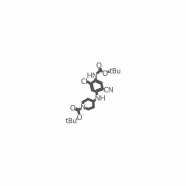 CC(C)(C)OC(=O)Nc1cc(C#N)c(NC2CCN(C(=O)OC(C)(C)C)CC2)cc1Cl